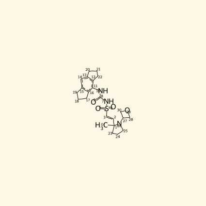 CC1(/C=C/S(=O)(=O)NC(=O)Nc2c3c(cc4c2CCC4)CCC3)CCCN1C1COC1